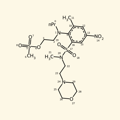 CCCN(CCOS(C)(=O)=O)c1c(C)cc([N+](=O)[O-])cc1S(=O)(=O)N(C)CCN1CCOCC1